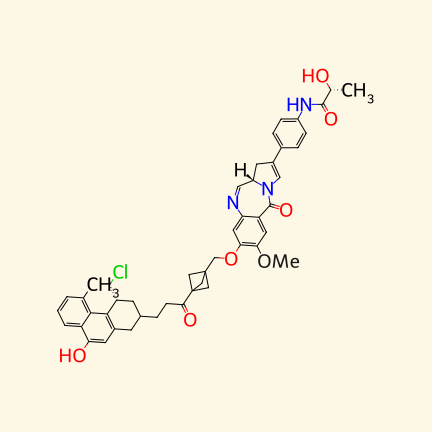 COc1cc2c(cc1OCC13CC(C(=O)CCC4Cc5cc(O)c6cccc(C)c6c5[C@H](CCl)C4)(C1)C3)N=C[C@@H]1CC(c3ccc(NC(=O)[C@@H](C)O)cc3)=CN1C2=O